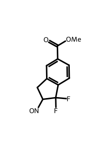 COC(=O)c1ccc2c(c1)CC(N=O)C2(F)F